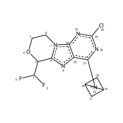 FC(F)C1OCCn2c1nc1c(N3CC4CC3C4)nc(Cl)nc12